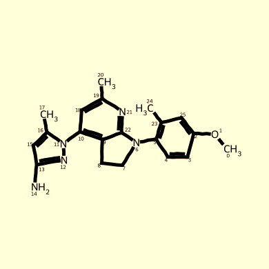 COc1ccc(N2CCc3c(-n4nc(N)cc4C)cc(C)nc32)c(C)c1